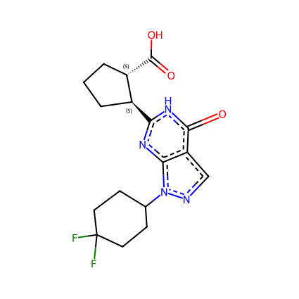 O=C(O)[C@H]1CCC[C@@H]1c1nc2c(cnn2C2CCC(F)(F)CC2)c(=O)[nH]1